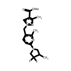 COC(=O)c1cn(Cc2ccc(N3CC(C)C(F)(F)C3)nc2C)nc1C